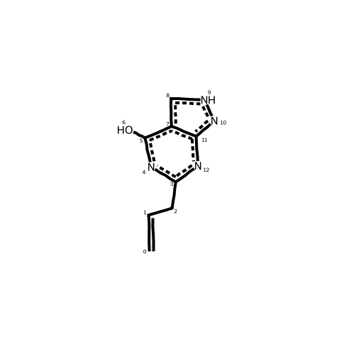 C=CCc1nc(O)c2c[nH]nc2n1